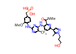 CNC(=O)c1nc(-c2cnn(CCCO)c2C)ccc1Nc1nc(Nc2ccc(CP(=O)(O)O)cc2OC)ncc1C(F)(F)F